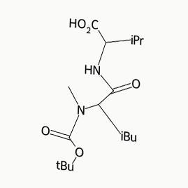 CCC(C)C(C(=O)NC(C(=O)O)C(C)C)N(C)C(=O)OC(C)(C)C